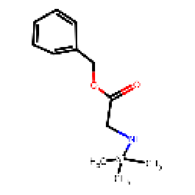 C[Si](C)(C)NCC(=O)OCc1ccccc1